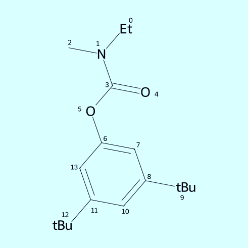 CCN(C)C(=O)Oc1cc(C(C)(C)C)cc(C(C)(C)C)c1